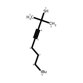 CC(C)(S)C#CCCCC(C)(C)C